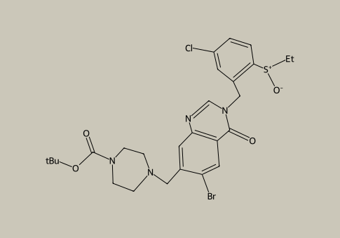 CC[S+]([O-])c1ccc(Cl)cc1Cn1cnc2cc(CN3CCN(C(=O)OC(C)(C)C)CC3)c(Br)cc2c1=O